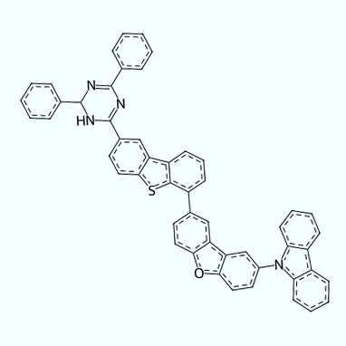 c1ccc(C2=NC(c3ccccc3)NC(c3ccc4sc5c(-c6ccc7oc8ccc(-n9c%10ccccc%10c%10ccccc%109)cc8c7c6)cccc5c4c3)=N2)cc1